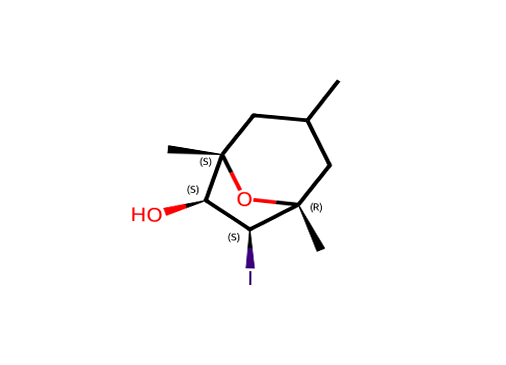 CC1C[C@@]2(C)O[C@@](C)(C1)[C@H](O)[C@@H]2I